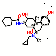 CCN(CC1CC1)[C@@H]1Cc2ccc(O)cc2[C@@]2(CC)CC(O)[C@@H](NC(=O)C3CCCCC3)C[C@@]12O